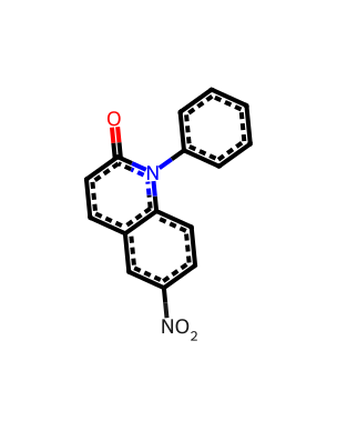 O=c1ccc2cc([N+](=O)[O-])ccc2n1-c1ccccc1